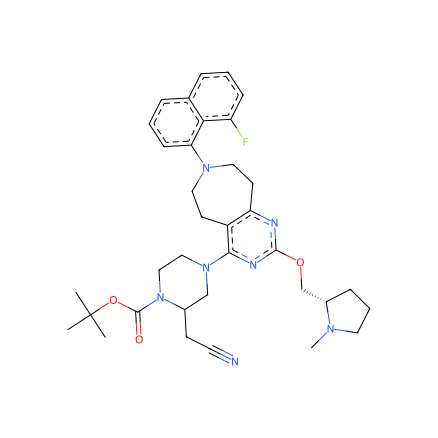 CN1CCC[C@H]1COc1nc2c(c(N3CCN(C(=O)OC(C)(C)C)C(CC#N)C3)n1)CCN(c1cccc3cccc(F)c13)CC2